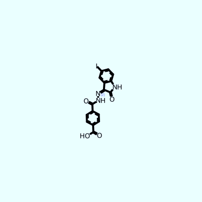 O=C1Nc2ccc(I)cc2/C1=N/NC(=O)c1ccc(C(=O)O)cc1